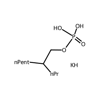 CCCCCC(CCC)COP(=O)(O)O.[KH]